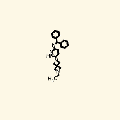 CCN1CC2(C1)CN(C1C=CC(N=C(c3ccccc3)c3ccccc3)=NN1)C2